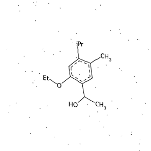 CCOc1cc(C(C)C)c(C)cc1C(C)O